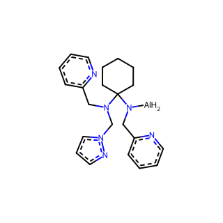 [AlH2][N](Cc1ccccn1)C1(N(Cc2ccccn2)Cn2cccn2)CCCCC1